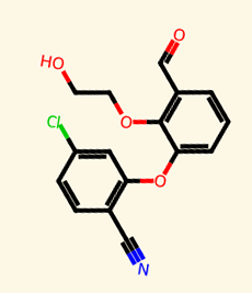 N#Cc1ccc(Cl)cc1Oc1cccc(C=O)c1OCCO